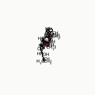 CC(C)(C)[Si](C)(C)CO[C@H]1[C@H]2OP(=O)(S)OC[C@H]3O[C@@H](n4cc5c6c(ncnc64)NCCC5)[C@H](O[Si](C)(C)C(C)(C)C)[C@@H]3OP(=O)(S)OC[C@H]1O[C@H]2n1cnc2c(=O)n(CCNC(O)CCC[Si](C)(C)C)cnc21